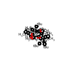 Cc1ccc(-c2cc3c(cc2N2c4cc5c(cc4B4c6oc7ccc(C(C)(C)C)cc7c6N(c6ccc(C(C)(C)C)cc6)c6cc(C)cc2c64)C(C)(Cc2cccc(-c4cc6c(cc4N4c7cc8c(cc7B7c9oc%10ccc(C(C)(C)C)cc%10c9N(c9ccc(C(C)(C)C)cc9)c9cc(C)cc4c97)C(C)(C)CCC8(C)C)C(C)(C)CCC6(C)C)c2C)CCC5(C)C)C(C)(C)CCC3(C)C)c(C)c1